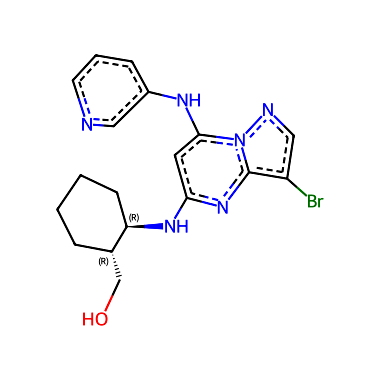 OC[C@@H]1CCCC[C@H]1Nc1cc(Nc2cccnc2)n2ncc(Br)c2n1